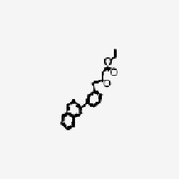 CCOC(=O)CC(=O)Cc1cccc(-c2ccc3ccccc3c2)c1